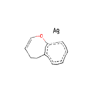 C1=COc2ccccc2C1.[Ag]